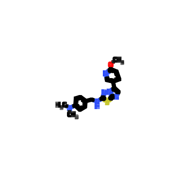 COc1ccc(-c2cnc3sc(NCc4ccc(N(C)C)cc4)nn23)cn1